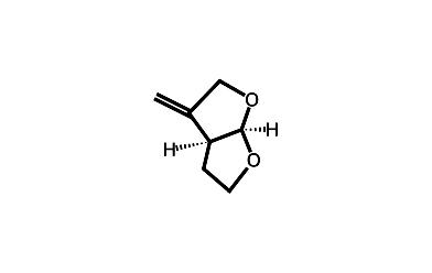 C=C1CO[C@H]2OCC[C@@H]12